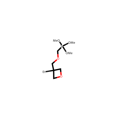 CCC1(COC[Si](OC)(OC)OC)COC1